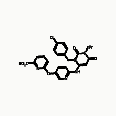 CCCn1c(=O)cc(Nc2ccc(Oc3cccc(C(=O)O)n3)cn2)n(Cc2ccc(Cl)cc2)c1=O